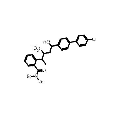 CCN(CC)C(=O)c1ccccc1C(C)C(CC(O)c1ccc(-c2ccc(Cl)cc2)cc1)C(=O)O